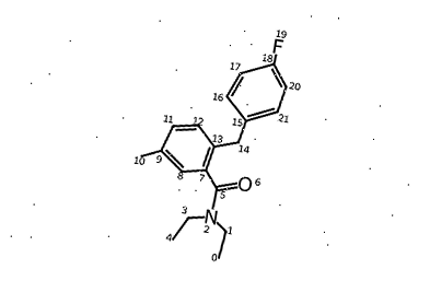 CCN(CC)C(=O)c1cc(C)ccc1Cc1ccc(F)cc1